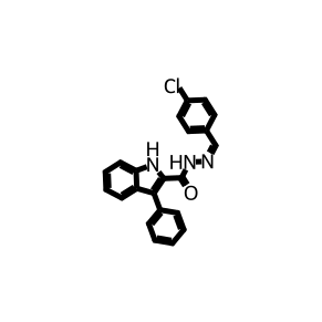 O=C(N/N=C\c1ccc(Cl)cc1)c1[nH]c2ccccc2c1-c1ccccc1